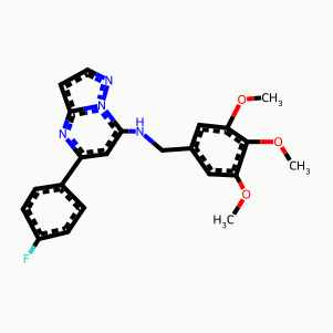 COc1cc(CNc2cc(-c3ccc(F)cc3)nc3ccnn23)cc(OC)c1OC